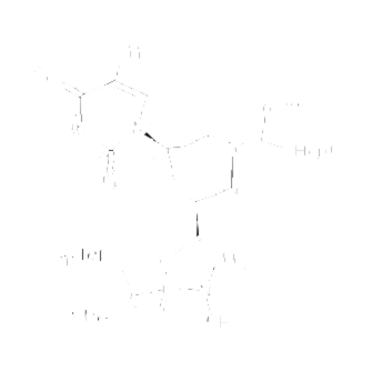 CCCCCCCC(CCCCCC)N1C[C@@H](COP(=O)(C(CCCCC)CCCCCCC)N(C)C)O[C@@H](n2cc(C)c(=O)[nH]c2=O)C1